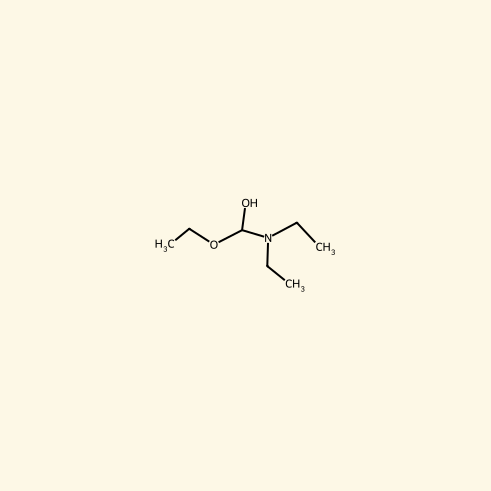 CCOC(O)N(CC)CC